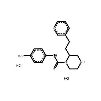 Cc1ccc(NC(=O)N2CCNCC2CCc2cccnc2)cc1.Cl.Cl